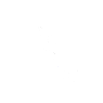 NS(=O)(=O)c1cccc2c(NC(=O)/C=C/c3ccc(O)c(O)c3)cccc12